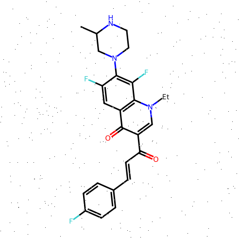 CCn1cc(C(=O)C=Cc2ccc(F)cc2)c(=O)c2cc(F)c(N3CCNC(C)C3)c(F)c21